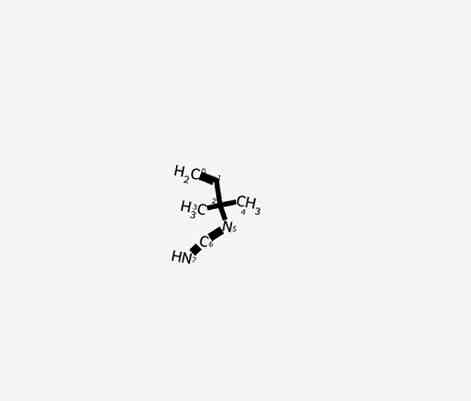 C=CC(C)(C)N=C=N